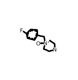 [O-][N+]1(Cc2ccc(F)cc2)CC[N]CC1